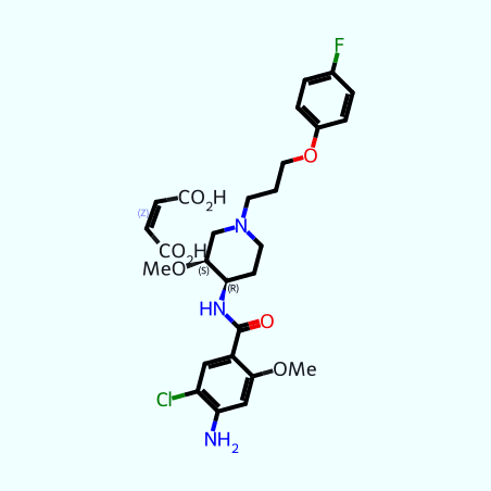 COc1cc(N)c(Cl)cc1C(=O)N[C@@H]1CCN(CCCOc2ccc(F)cc2)C[C@@H]1OC.O=C(O)/C=C\C(=O)O